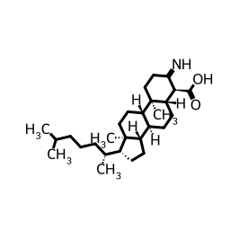 CC(C)CCC[C@@H](C)[C@H]1CC[C@H]2[C@@H]3CC[C@H]4[C@H](C(=O)O)C(=N)CC[C@]4(C)[C@H]3CC[C@]12C